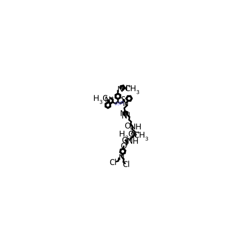 C[n+]1ccn(Cc2ccc(C(=C\c3cc[n+](C)c4ccccc34)/C=C3\Sc4ccccc4N3CCc3cn(CCCC(=O)NCC[N+](C)(C)CCNC(=O)COc4ccc(N(CCCl)CCCl)cc4)nn3)cc2)c1